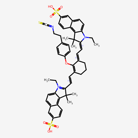 CCN1/C(=C/C=C2\CCCC(/C=C/C3=[N+](CC)c4ccc5cc(S(=O)(=O)O)ccc5c4C3(C)C)=C2Oc2ccc(CCN=C=S)cc2)C(C)(C)c2c1ccc1cc(S(=O)(=O)O)ccc21